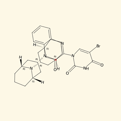 O=c1[nH]c(=O)n(-c2nc3ccccc3n([C@H]3C[C@H]4CCC[C@@H](C3)N4[C@H]3C[C@@H]4CCC[C@@H](C4)C3)c2=O)cc1Br